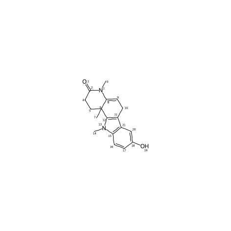 CN1C(=O)CCC2(C)C1=CCc1c2n(C)c2ccc(O)cc12